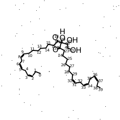 CC/C=C\C/C=C\C/C=C\CCCCCCCC(=O)C(O)(C(=O)CCCCCCC/C=C\C/C=C\C/C=C\CC)C(O)CO